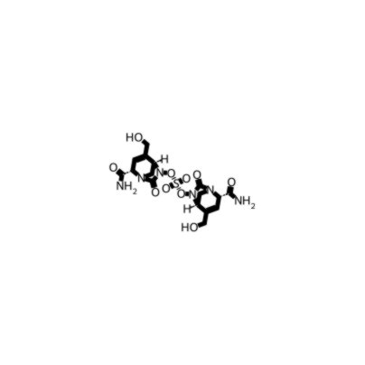 NC(=O)[C@@H]1C=C(CO)[C@@H]2CN1C(=O)N2OS(=O)(=O)ON1C(=O)N2C[C@H]1C(CO)=C[C@H]2C(N)=O